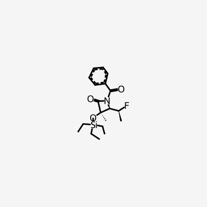 CC[Si](CC)(CC)O[C@@]1(C)C(=O)N(C(=O)c2ccccc2)[C@H]1[C@H](C)F